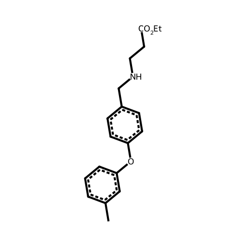 CCOC(=O)CCNCc1ccc(Oc2cccc(C)c2)cc1